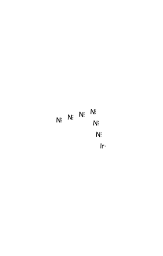 [Ir].[N].[N].[N].[N].[N].[N]